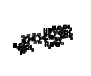 C[C@H](Nc1nccc(N2C(=O)OCC2[C@@H](C)OC(C)(C)C)n1)C1CCN(c2ccnc(C(C)(C)C(F)(F)F)c2)CC1